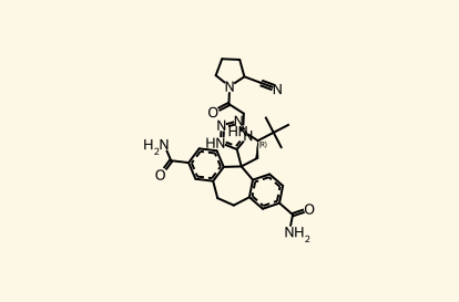 CC(C)(C)[C@@H](CC1(c2nnn[nH]2)c2ccc(C(N)=O)cc2CCc2cc(C(N)=O)ccc21)NCC(=O)N1CCCC1C#N